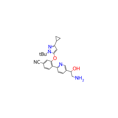 CC(C)(C)n1nc(C2CC2)cc1Oc1cc(C#N)ccc1-c1ccc(C(O)CN)cn1